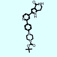 CC(C)(C)OC(=O)N1CCN(c2ccc(-c3cc(-c4cc5c([nH]4)CCNC5=O)ccn3)cc2)CC1